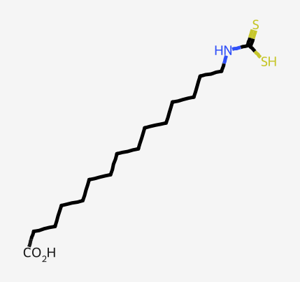 O=C(O)CCCCCCCCCCCCCCNC(=S)S